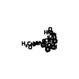 COc1nc(-c2cccc(-c3ccnc(-c4ccc(CN5CC6(CNC(=O)C6)C5)c(OC(F)F)c4)c3Cl)c2Cl)ccc1CN1CC2(C1)CN(C(C)=O)C2